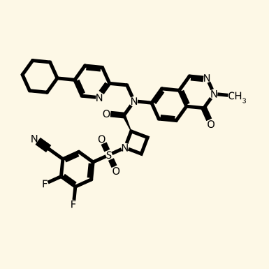 Cn1ncc2cc(N(Cc3ccc(C4CCCCC4)cn3)C(=O)[C@H]3CCN3S(=O)(=O)c3cc(F)c(F)c(C#N)c3)ccc2c1=O